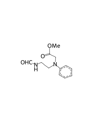 COC(=O)CN(CCNC=O)c1ccccc1